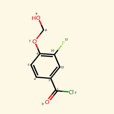 O=C(Cl)c1ccc(OCO)c(F)c1